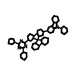 c1ccc(-c2nc(-c3ccccc3)nc(-c3ccc4c(c3)C3(c5ccccc5-c5ccccc53)c3cc(-c5ccc6c(c5)c5ccccc5n6-c5ccccc5)ccc3-4)n2)cc1